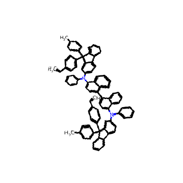 C=Cc1ccc(C2(c3ccc(C)cc3)c3ccccc3-c3ccc(N(c4ccccc4)c4ccc(-c5ccc(N(c6ccccc6)c6ccc7c(c6)C(c6ccc(C)cc6)(c6ccc(C=C)cc6)c6ccccc6-7)c6ccccc56)c5ccccc45)cc32)cc1